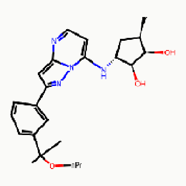 [CH2][C@@H]1C[C@@H](Nc2ccnc3cc(-c4cccc(C(C)(C)OCCC)c4)nn23)[C@H](O)[C@@H]1O